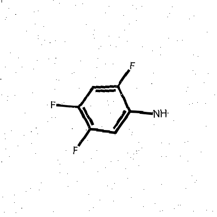 [NH]c1cc(F)c(F)cc1F